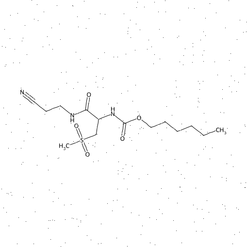 CCCCCCOC(=O)NC(CS(C)(=O)=O)C(=O)NCCC#N